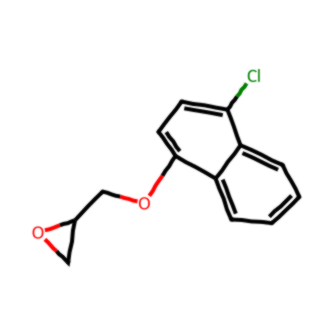 Clc1ccc(OCC2CO2)c2ccccc12